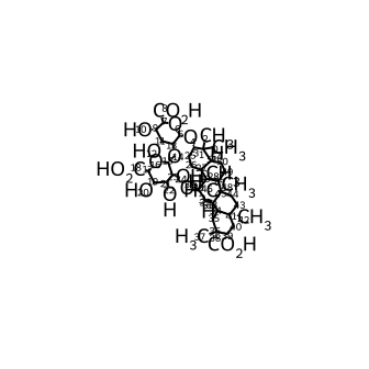 CC1(C)[C@@H](O[C@H]2OC(C(=O)O)[C@@H](O)C(O)C2O[C@@H]2OC(C(=O)O)[C@@H](O)C(O)C2O)CC[C@]2(C)[C@H]3C(=O)C=C4[C@@H]5C[C@@](C)(C(=O)O)CC[C@]5(C)CC[C@@]4(C)[C@]3(C)CC[C@@H]12